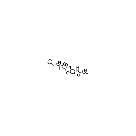 CN1C(=O)C(NC(=O)c2cc(Cc3ccccc3)on2)COc2ccc(NC(=O)c3cnn(C)c3)cc21